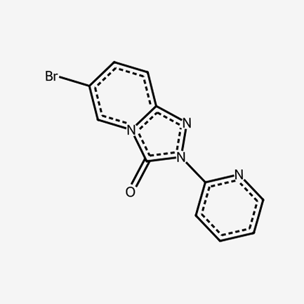 O=c1n(-c2ccccn2)nc2ccc(Br)cn12